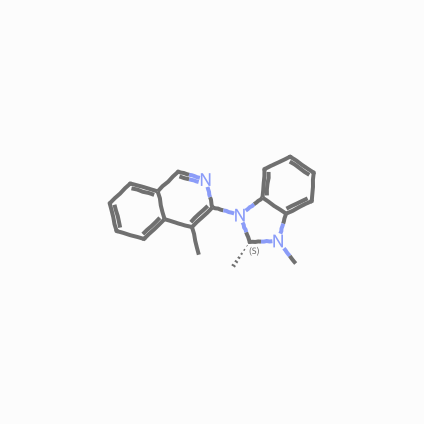 Cc1c(N2c3ccccc3N(C)[C@@H]2C)ncc2ccccc12